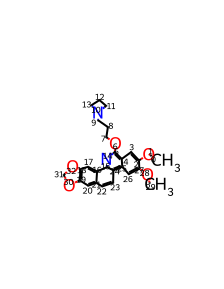 COc1cc2c(OCCCN3CCC3)nc3c4cc5c(cc4ccc3c2cc1OC)OCO5